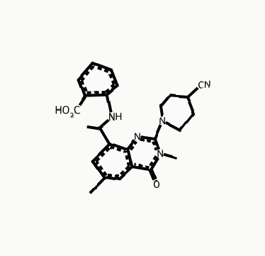 Cc1cc(C(C)Nc2ccccc2C(=O)O)c2nc(N3CCC(C#N)CC3)n(C)c(=O)c2c1